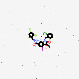 CCC1(O)C(=O)N(Cc2c(F)cccc2Cl)c2cc(C(=O)NCc3c(F)cc(F)cc3F)cc(I)c21